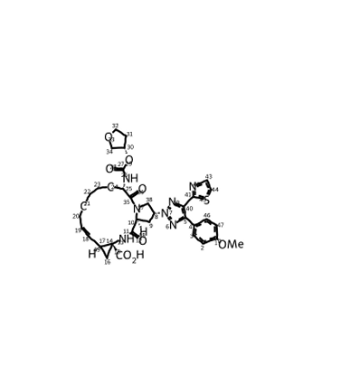 COc1ccc(-c2nn([C@@H]3C[C@H]4C(=O)N[C@]5(C(=O)O)C[C@H]5/C=C\CCCCC[C@H](NC(=O)O[C@H]5CCOC5)C(=O)N4C3)nc2-c2nccs2)cc1